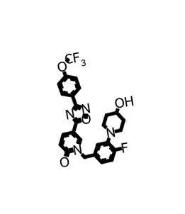 O=c1ccc(-c2nc(-c3ccc(OC(F)(F)F)cc3)no2)cn1Cc1ccc(F)c(N2CCC(O)CC2)c1